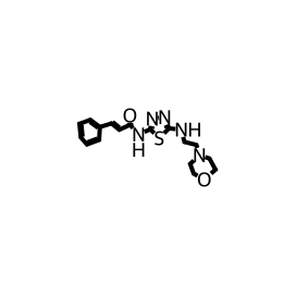 O=C(C=Cc1ccccc1)Nc1nnc(NCCN2CCOCC2)s1